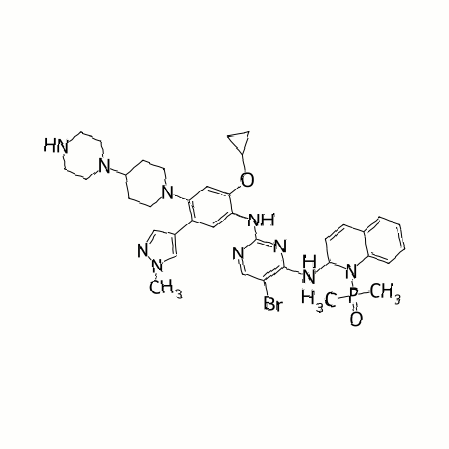 Cn1cc(-c2cc(Nc3ncc(Br)c(NC4C=Cc5ccccc5N4P(C)(C)=O)n3)c(OC3CC3)cc2N2CCC(N3CCNCC3)CC2)cn1